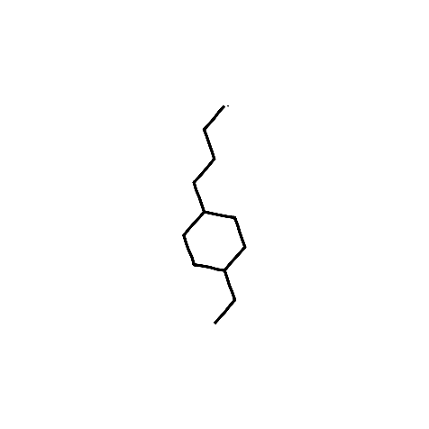 [CH2]CCCC1CCC(CC)CC1